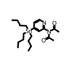 CCC[CH2][Sn]([CH2]CCC)([CH2]CCC)[c]1ccnc(N(C(C)=O)C(C)=O)c1